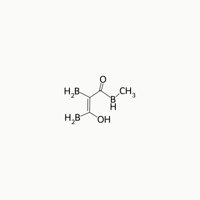 B/C(O)=C(\B)C(=O)BC